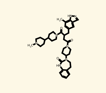 Cc1cc(CC(CC(=O)N2CCC(N3CCc4ccccc4NC3=O)CC2)C(=O)N2CCC(C3CCN(C)CC3)CC2)cc2cn[nH]c12